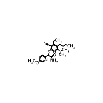 CCCCc1c(N(C)C)nc(SC(C(N)=O)c2ccc(OC)cn2)c(C#N)c1CC